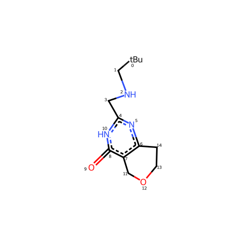 CC(C)(C)CNCc1nc2c(c(=O)[nH]1)COCC2